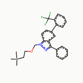 C[Si](C)(C)CCOCn1nc(-c2ccccc2)c2cc(-c3ccccc3C(F)(F)F)ccc21